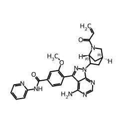 C=CC(=O)N1C[C@H]2CC(n3nc(-c4ccc(C(=O)Nc5ccccn5)cc4OC)c4c(N)ncnc43)[C@H]1C2